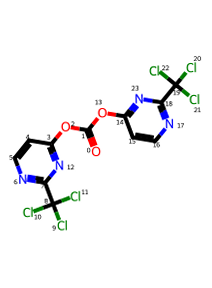 O=C(Oc1ccnc(C(Cl)(Cl)Cl)n1)Oc1ccnc(C(Cl)(Cl)Cl)n1